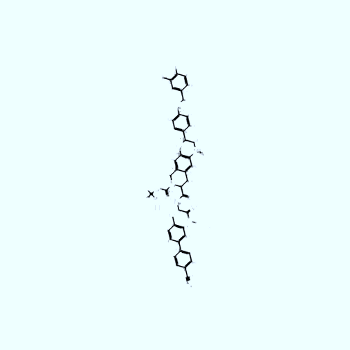 COC(=O)[C@H](Cc1ccc(-c2ccc(C#N)cc2)cc1)NC(=O)C1Cc2cc3c(cc2CN1C(=O)OC(C)(C)C)OC(c1ccc(OCc2ccc(Cl)c(Cl)c2)cc1)CN3C